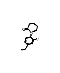 CCc1ccc(N2CCCCC2=O)c(Cl)c1